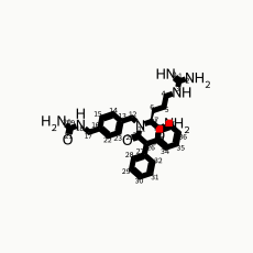 N=C(N)NCCC[C@@H](C(N)=O)N(Cc1ccc(CNC(N)=O)cc1)C(=O)C(c1ccccc1)c1ccccc1